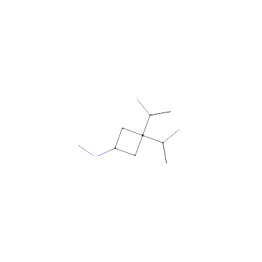 CNC1CC(C(C)C)(C(C)C)C1